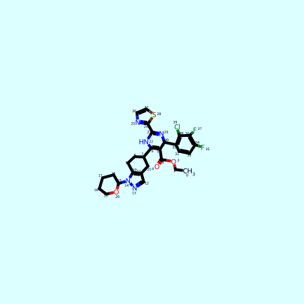 CCOC(=O)C1=C(C2CCc3c(cnn3C3CCCCO3)C2)NC(c2nccs2)=NC1c1ccc(F)c(F)c1Cl